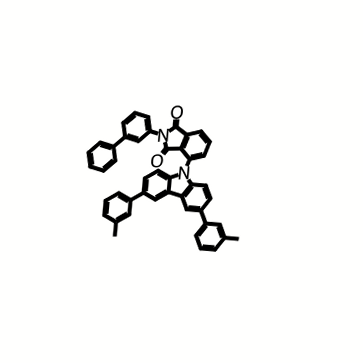 Cc1cccc(-c2ccc3c(c2)c2cc(-c4cccc(C)c4)ccc2n3-c2cccc3c2C(=O)N(c2cccc(-c4ccccc4)c2)C3=O)c1